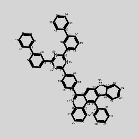 c1ccc(-c2cccc(-c3nc(-c4ccc(-c5nc6ccccc6c6c(-c7ccccc7)c7c(cc56)oc5ccccc57)cc4)nc(-c4cccc(-c5ccccc5)c4)n3)c2)cc1